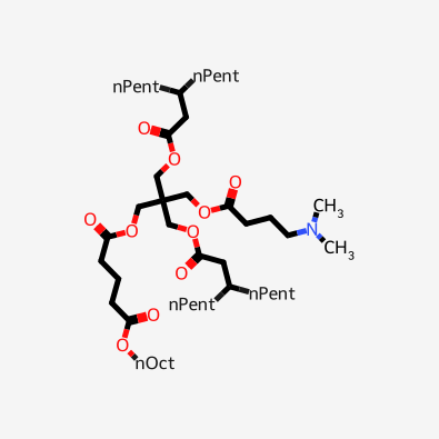 CCCCCCCCOC(=O)CCCC(=O)OCC(COC(=O)CCCN(C)C)(COC(=O)CC(CCCCC)CCCCC)COC(=O)CC(CCCCC)CCCCC